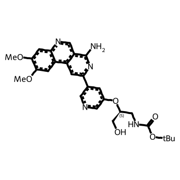 COc1cc2ncc3c(N)nc(-c4cncc(O[C@H](CO)CNC(=O)OC(C)(C)C)c4)cc3c2cc1OC